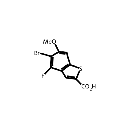 COc1cc2sc(C(=O)O)cc2c(F)c1Br